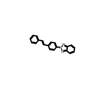 C(=C\c1ccc(-n2nc3ccccc3n2)cc1)/c1ccccc1